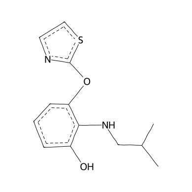 CC(C)CNc1c(O)cccc1Oc1nccs1